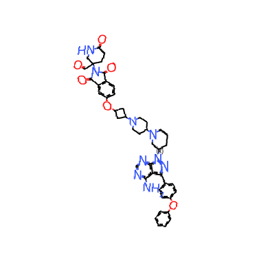 Nc1ncnc2c1c(-c1ccc(Oc3ccccc3)cc1)nn2[C@@H]1CCCN(C2CCN(C3CC(Oc4ccc5c(c4)C(=O)N(C4(C=O)CCC(=O)NC4)C5=O)C3)CC2)C1